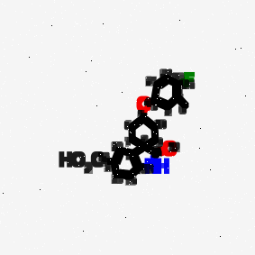 Cc1cc(OC2CCC3(CC2)C(=O)Nc2ccc(C(=O)O)cc23)ccc1F